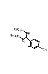 CCOC(=O)NC(NC(=O)OCC)c1ccc(C#N)cc1F